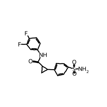 NS(=O)(=O)c1ccc(C2CC2C(=O)Nc2ccc(F)c(F)c2)cc1